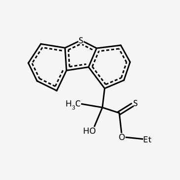 CCOC(=S)C(C)(O)c1cccc2sc3ccccc3c12